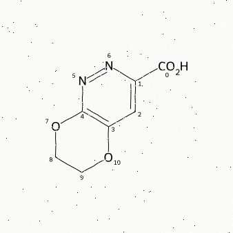 O=C(O)c1cc2c(nn1)OCCO2